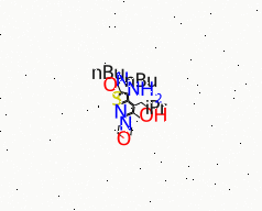 CCCCN(CCCC)C(=O)c1sc2nc(N3CCOCC3)c(CO)c(CC(C)C)c2c1N